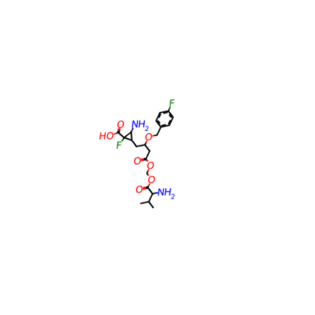 CC(C)C(N)C(=O)OCOC(=O)CC(CC1C(N)C1(F)C(=O)O)OCc1ccc(F)cc1